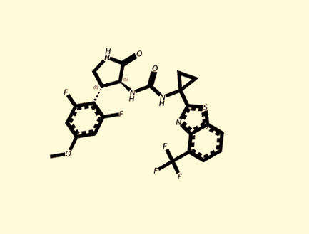 COc1cc(F)c([C@@H]2CNC(=O)[C@H]2NC(=O)NC2(c3nc4c(C(F)(F)F)cccc4s3)CC2)c(F)c1